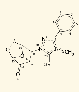 Cn1c(-c2ccccc2)nn(C2CC(=O)C3OCC2O3)c1=S